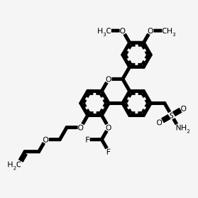 C=CCOCCOc1ccc2c(c1OC(F)F)-c1ccc(CS(N)(=O)=O)cc1C(c1ccc(OC)c(OC)c1)O2